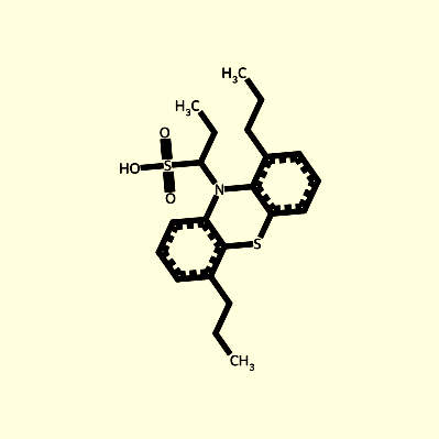 CCCc1cccc2c1Sc1cccc(CCC)c1N2C(CC)S(=O)(=O)O